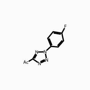 CC(=O)c1nnn(-c2ccc(F)cc2)n1